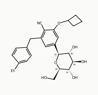 CCc1ccc(Cc2cc([C@@H]3O[C@H](CO)[C@@H](O)[C@H](O)[C@H]3O)cc(OC3CCC3)c2C#N)cc1